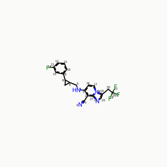 N#Cc1c(NCC2CC2c2cccc(F)c2)ccn2c(CC(F)(F)F)cnc12